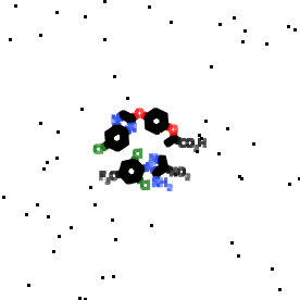 CC(Oc1ccc(Oc2cnc3cc(Cl)ccc3n2)cc1)C(=O)O.Nc1c([N+](=O)[O-])cnn1-c1c(Cl)cc(C(F)(F)F)cc1Cl